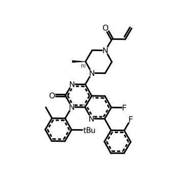 C=CC(=O)N1CCN(c2nc(=O)n(-c3c(C)cccc3C(C)(C)C)c3nc(-c4ccccc4F)c(F)cc23)[C@@H](C)C1